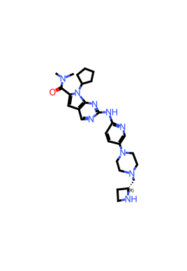 CN(C)C(=O)c1cc2cnc(Nc3ccc(N4CCN(C[C@H]5CCN5)CC4)cn3)nc2n1C1CCCC1